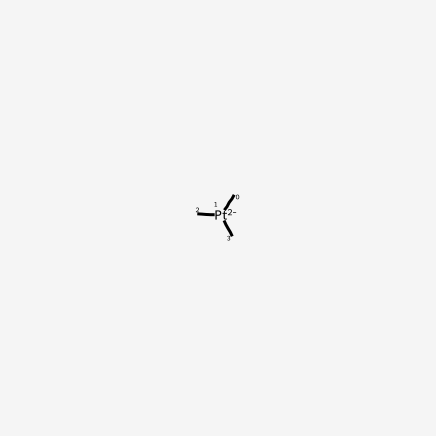 [CH3][Pt-2]([CH3])[CH3]